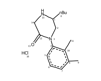 CCCCC1CN(c2cccc(C)c2C)C(=O)CN1.Cl